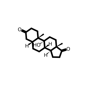 C[C@]12CCC(=O)C[C@H]1CC[C@H]1[C@@H]3CCC(=O)[C@@]3(C)CC[C@@]12O